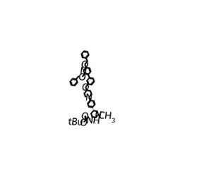 CN1C[C@H](NC(=O)OC(C)(C)C)C[C@H](c2ccc(N3CCC(Oc4cccc(-c5ccc(OCc6ccccc6)nc5OCc5ccccc5)c4)CC3)cc2)C1